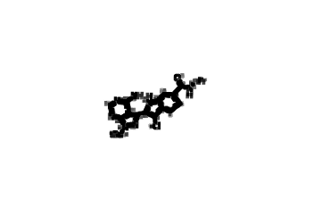 CCCNC(=O)c1ccc2c(Cl)c(-c3nn(C(C)(C)C)c4ncnc(N)c34)[nH]c2c1